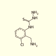 NCc1c(Cl)cccc1NC(=S)NN